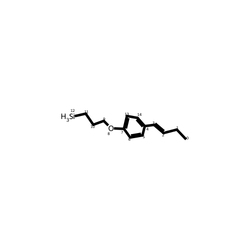 CC/C=C/c1ccc(OCCC[SiH3])cc1